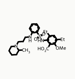 CCc1cc(CC)c(OC)c(C(=O)O)c1NS(=O)(=O)c1ccccc1NCCCN1CCCCC1C